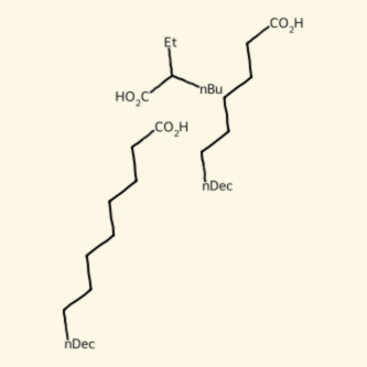 CCCCC(CC)C(=O)O.CCCCCCCCCCCCCCCC(=O)O.CCCCCCCCCCCCCCCCCC(=O)O